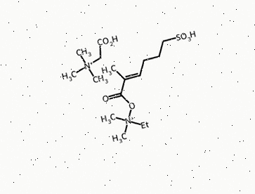 CC[N+](C)(C)OC(=O)/C(C)=C/CCCS(=O)(=O)O.C[N+](C)(C)CC(=O)O